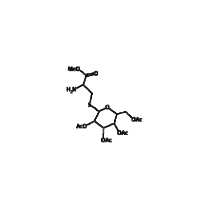 COC(=O)C(N)CSC1OC(COC(C)=O)C(OC(C)=O)C(OC(C)=O)C1OC(C)=O